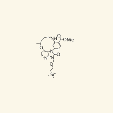 COC(=O)c1ccc2cc1NCCCC(C)Oc1ccnc3c1n-2c(=O)n3COCC[Si](C)(C)C